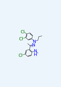 CCCN(/N=C(\C)c1cc(Cl)ccc1NC)c1ccc(Cl)c(Cl)c1